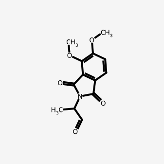 COc1ccc2c(c1OC)C(=O)N(C(C)C=O)C2=O